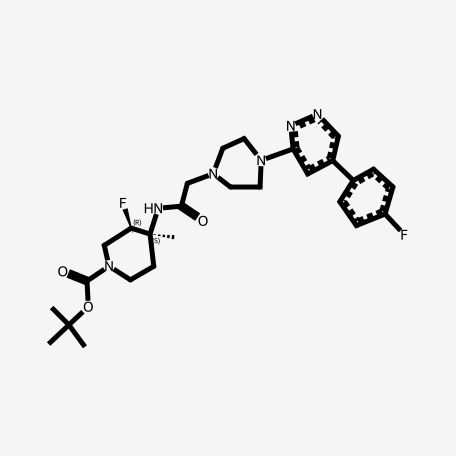 CC(C)(C)OC(=O)N1CC[C@](C)(NC(=O)CN2CCN(c3cc(-c4ccc(F)cc4)cnn3)CC2)[C@H](F)C1